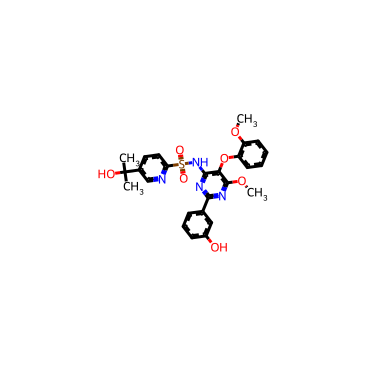 COc1ccccc1Oc1c(NS(=O)(=O)c2ccc(C(C)(C)O)cn2)nc(-c2cccc(O)c2)nc1OC